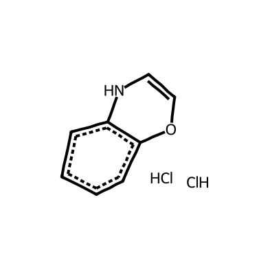 C1=COc2ccccc2N1.Cl.Cl